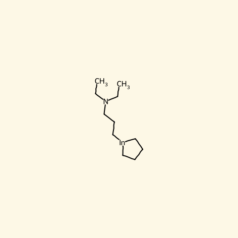 CCN(CC)CC[CH2][In]1[CH2]CC[CH2]1